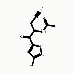 CC(=O)NC(CC#N)C(=O)c1cc(C)cs1